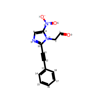 O=CCn1c([N+](=O)[O-])cnc1C#Cc1ccccc1